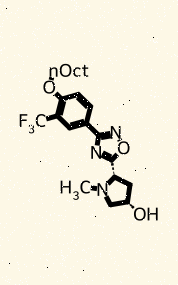 CCCCCCCCOc1ccc(-c2noc([C@@H]3C[C@H](O)CN3C)n2)cc1C(F)(F)F